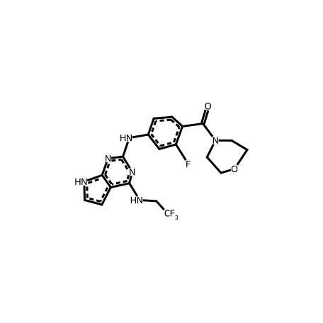 O=C(c1ccc(Nc2nc(NCC(F)(F)F)c3cc[nH]c3n2)cc1F)N1CCOCC1